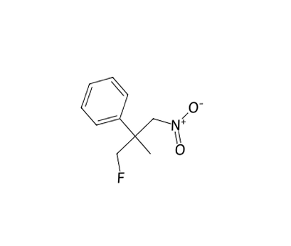 CC(CF)(C[N+](=O)[O-])c1ccccc1